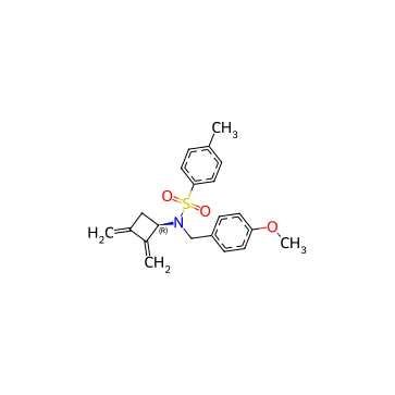 C=C1C[C@@H](N(Cc2ccc(OC)cc2)S(=O)(=O)c2ccc(C)cc2)C1=C